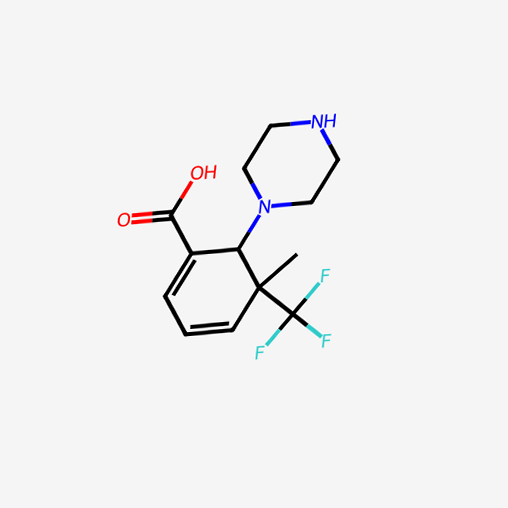 CC1(C(F)(F)F)C=CC=C(C(=O)O)C1N1CCNCC1